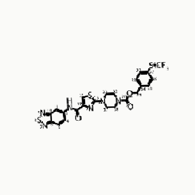 O=C(Nc1ccc2nsnc2c1)c1csc(N2CCN(C(=O)OCc3ccc(SC(F)(F)F)cc3)CC2)n1